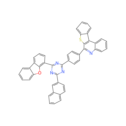 c1ccc2cc(-c3nc(-c4ccc(-c5nc6ccccc6c6c5sc5ccccc56)cc4)nc(-c4cccc5c4oc4ccccc45)n3)ccc2c1